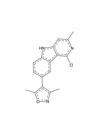 Cc1cc2[nH]c3ccc(-c4c(C)noc4C)cc3c2c(Cl)n1